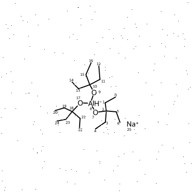 CCC(CC)(CC)[O][AlH-]([O]C(CC)(CC)CC)[O]C(CC)(CC)CC.[Na+]